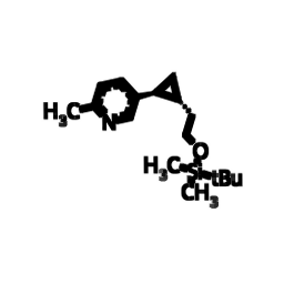 Cc1ccc([C@H]2C[C@@H]2CCO[Si](C)(C)C(C)(C)C)cn1